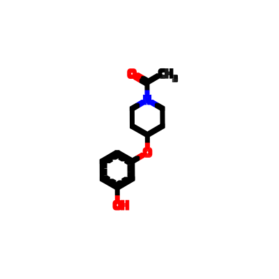 CC(=O)N1CCC(Oc2cccc(O)c2)CC1